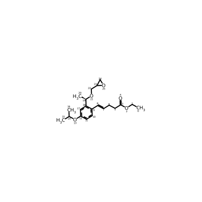 CCOC(=O)CC/C=C/c1ccc(OC(C)C)cc1[C@@H](C)OCC1CO1